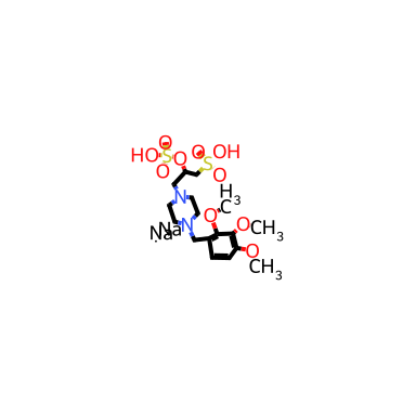 COc1ccc(CN2CCN(CC(CS(=O)(=O)O)OS(=O)(=O)O)CC2)c(OC)c1OC.[Na].[Na]